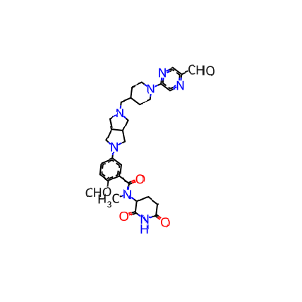 CN(C(=O)c1cc(N2CC3CN(CC4CCN(c5cnc(C=O)cn5)CC4)CC3C2)ccc1C=O)C1CCC(=O)NC1=O